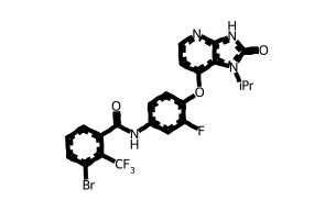 CC(C)n1c(=O)[nH]c2nccc(Oc3ccc(NC(=O)c4cccc(Br)c4C(F)(F)F)cc3F)c21